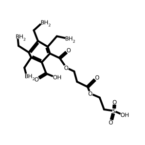 BCc1c(CB)c(CB)c(C(=O)OCCC(=O)OCCS(=O)(=O)O)c(C(=O)O)c1CB